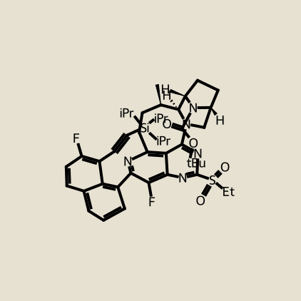 CCS(=O)(=O)c1nc2c3c(nc(-c4cccc5ccc(F)c(C#C[Si](C(C)C)(C(C)C)C(C)C)c45)c(F)c3n1)CC[C@@H](C)[C@H]1[C@@H]3CC[C@H](CN21)N3C(=O)OC(C)(C)C